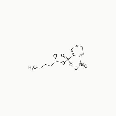 CCCCC(Cl)OS(=O)(=O)c1ccccc1[N+](=O)[O-]